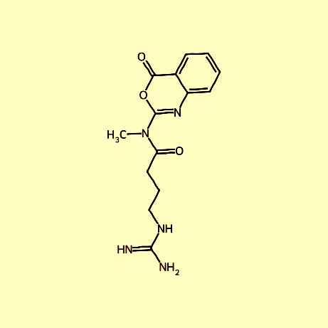 CN(C(=O)CCCNC(=N)N)c1nc2ccccc2c(=O)o1